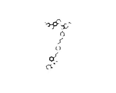 CC(=O)N1CCc2c(c(N3CCCc4cc(-c5cnn(C)c5)c(C(F)F)cc43)nn2C2CCN(C(=O)CCCN3CCN(CCCc4cccc5c4n(C)c(=O)n5C4CCC(=O)NC4=O)CC3)CC2)C1